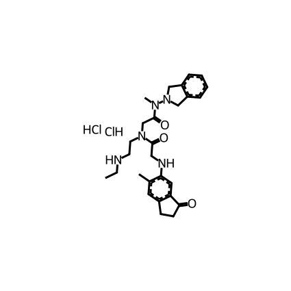 CCNCCN(CC(=O)N(C)N1Cc2ccccc2C1)C(=O)CNc1cc2c(cc1C)CCC2=O.Cl.Cl